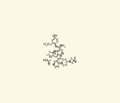 CCc1cc(O)ccc1N=C(N)c1cnn2cc(-c3cnccc3N3CCC(N4CC(F)(F)C4)CC3)cc2c1N[C@@H]1CCOC1.O=CO